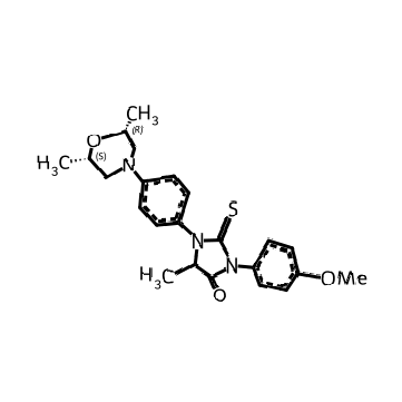 COc1ccc(N2C(=O)C(C)N(c3ccc(N4C[C@@H](C)O[C@@H](C)C4)cc3)C2=S)cc1